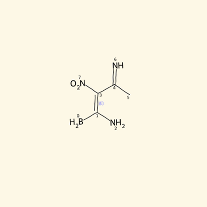 B/C(N)=C(/C(C)=N)[N+](=O)[O-]